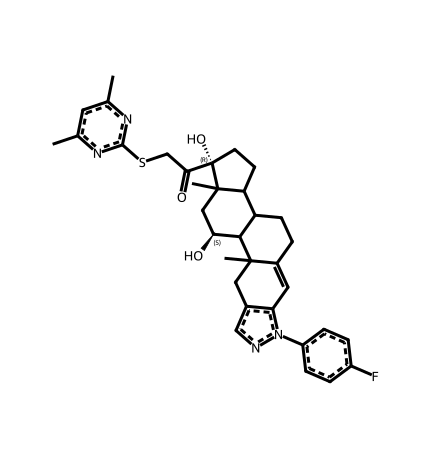 Cc1cc(C)nc(SCC(=O)[C@@]2(O)CCC3C4CCC5=Cc6c(cnn6-c6ccc(F)cc6)CC5(C)C4[C@@H](O)CC32C)n1